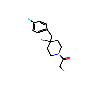 N#CC1(Cc2ccc(F)cc2)CCN(C(=O)CCl)CC1